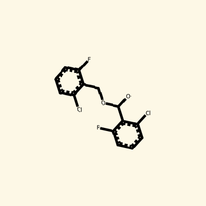 [O]C(OCc1c(F)cccc1Cl)c1c(F)cccc1Cl